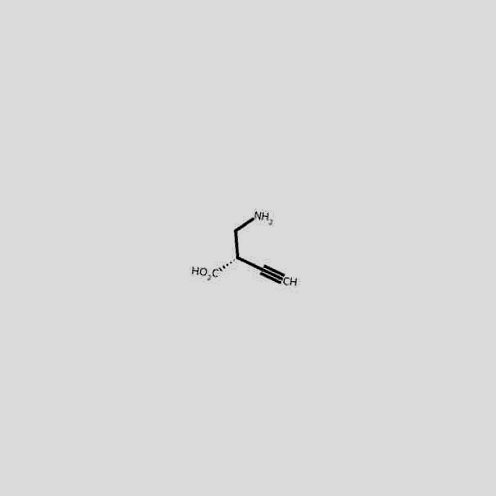 C#C[C@@H](CN)C(=O)O